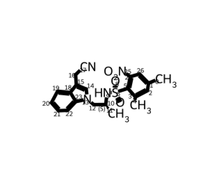 Cc1cc(C)c(S(=O)(=O)N[C@@H](C)Cn2cc(CC#N)c3ccccc32)c([N+](=O)[O-])c1